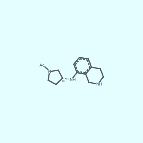 CC(=O)N1CC[C@@H](Nc2cccc3c2CNCC3)C1